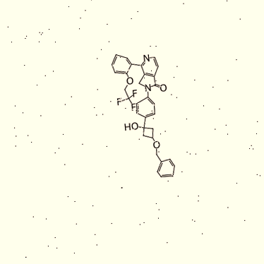 O=C1c2ccnc(-c3ccccc3OCC(F)(F)F)c2CN1c1ccc(C2(O)CC(OCc3ccccc3)C2)cc1